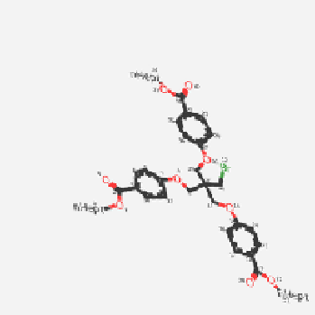 CCCCCCCOC(=O)c1ccc(OCC(CBr)(COc2ccc(C(=O)OCCCCCCC)cc2)COc2ccc(C(=O)OCCCCCCC)cc2)cc1